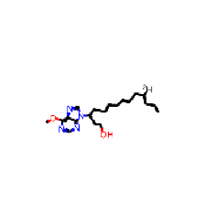 [2H]C(CCC)CCCCCCCC(CCO)n1cnc2c(OC)ncnc21